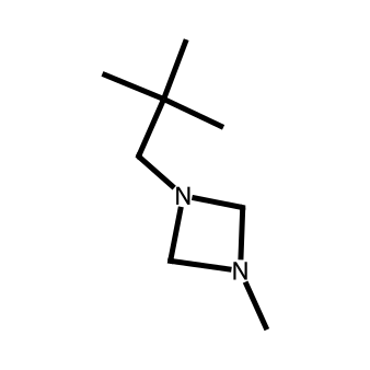 CN1CN(CC(C)(C)C)C1